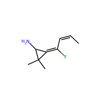 C/C=C\C(F)=C1/C(N)C1(C)C